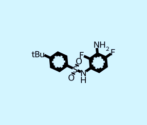 CC(C)(C)c1ccc(S(=O)(=O)Nc2ccc(F)c(N)c2F)cc1